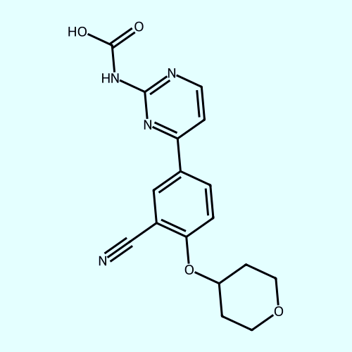 N#Cc1cc(-c2ccnc(NC(=O)O)n2)ccc1OC1CCOCC1